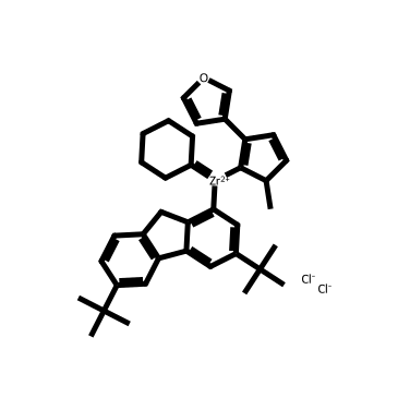 CC1C=CC(c2ccoc2)=[C]1[Zr+2](=[C]1CCCCC1)[c]1cc(C(C)(C)C)cc2c1Cc1ccc(C(C)(C)C)cc1-2.[Cl-].[Cl-]